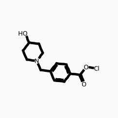 O=C(OCl)c1ccc(CN2CCC(O)CC2)cc1